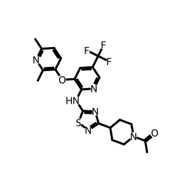 CC(=O)N1CCC(c2nsc(Nc3ncc(C(F)(F)F)cc3Oc3ccc(C)nc3C)n2)CC1